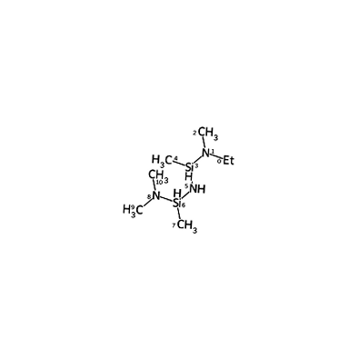 CCN(C)[SiH](C)N[SiH](C)N(C)C